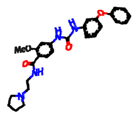 COc1cc(NC(=O)Nc2cccc(Oc3ccccc3)c2)ccc1C(=O)NCCN1CCCC1